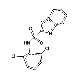 O=S(=O)(Nc1c(Cl)cccc1Cl)c1nc2ncccn2n1